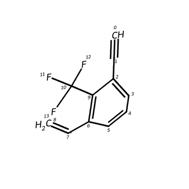 C#Cc1cccc([C]=C)c1C(F)(F)F